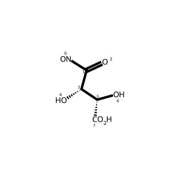 O=NC(=O)[C@@H](O)[C@H](O)C(=O)O